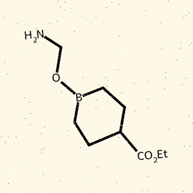 CCOC(=O)C1CCB(OCN)CC1